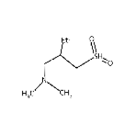 C[CH]C(CN(C)C)C[SH](=O)=O